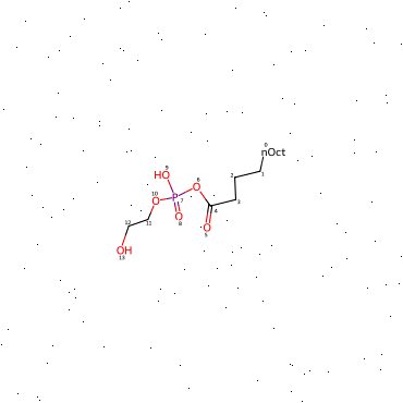 CCCCCCCCCCCC(=O)OP(=O)(O)OCCO